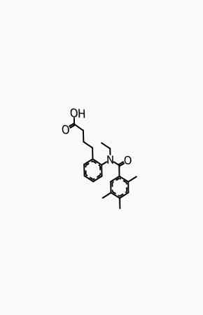 CCN(C(=O)c1cc(C)c(C)cc1C)c1ccccc1CCCC(=O)O